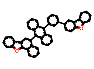 c1cc(-c2ccc3oc4ccccc4c3c2)cc(-c2c3ccccc3c(-c3cc4c5ccccc5oc4c4ccccc34)c3ccccc23)c1